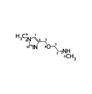 CNCCOCc1cn(C)cn1